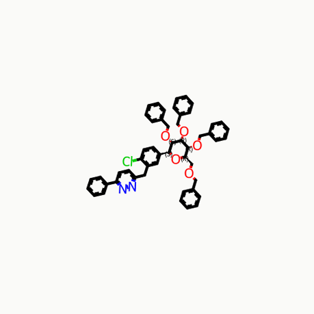 Clc1ccc([C@@H]2O[C@H](COCc3ccccc3)[C@@H](OCc3ccccc3)[C@H](OCc3ccccc3)[C@H]2OCc2ccccc2)cc1Cc1ccc(-c2ccccc2)nn1